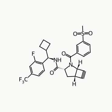 CS(=O)(=O)c1cccc(C(=O)N2[C@@H](C(=O)N[C@@H](c3ccc(C(F)(F)F)cc3F)C3CCC3)C[C@H]3C#C[C@H]32)c1